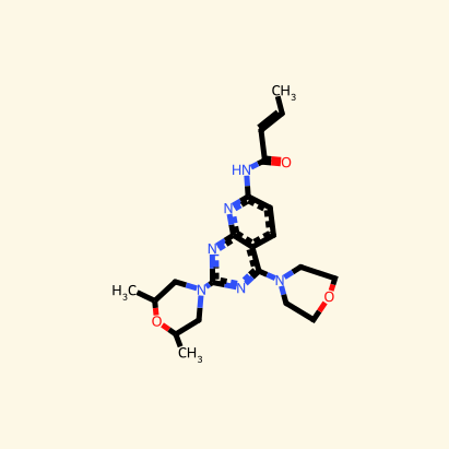 CC=CC(=O)Nc1ccc2c(N3CCOCC3)nc(N3CC(C)OC(C)C3)nc2n1